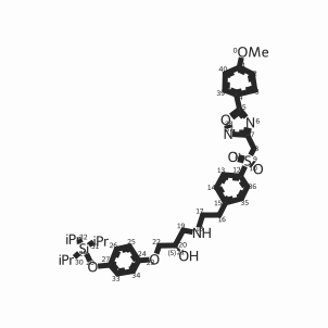 COc1ccc(-c2nc(CS(=O)(=O)c3ccc(CCNC[C@H](O)COc4ccc(O[Si](C(C)C)(C(C)C)C(C)C)cc4)cc3)no2)cc1